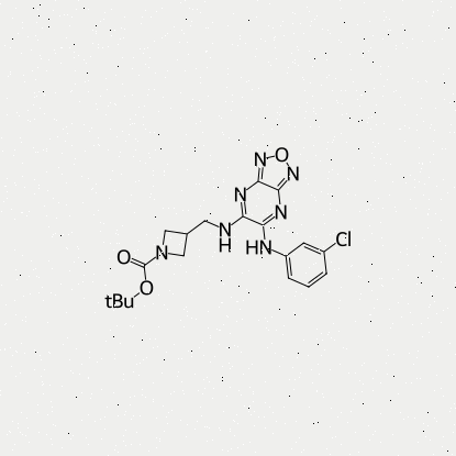 CC(C)(C)OC(=O)N1CC(CNc2nc3nonc3nc2Nc2cccc(Cl)c2)C1